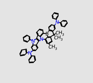 Cc1cc2c3c(c1)C(C)(C)c1cc(N(c4ccccc4)c4ccccc4)ccc1B3c1cccc3c1n-2c1c2ccc(N(c4ccccc4)c4ccccc4)cc2n(-c2ccccc2)c31